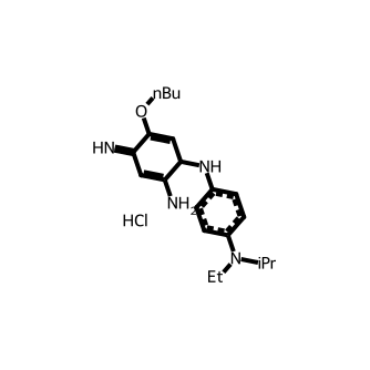 CCCCOC1=CC(Nc2ccc(N(CC)C(C)C)cc2)C(N)=CC1=N.Cl